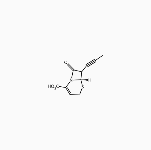 CC#CC1C(=O)N2C(C(=O)O)=CCS[C@@H]12